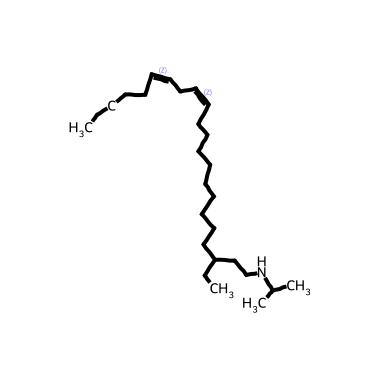 CCCCC/C=C\C/C=C\CCCCCCCCCC(CC)CCNC(C)C